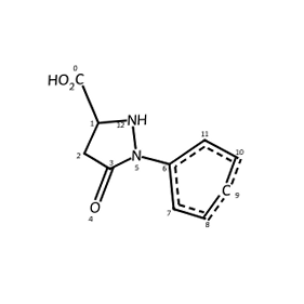 O=C(O)C1CC(=O)N(c2ccccc2)N1